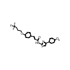 COc1ccc(-c2csc(NC(=O)/C=C/c3ccc(OCCCC(F)(F)F)cc3)n2)cc1